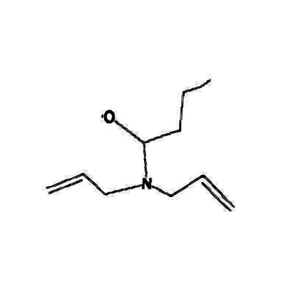 C=CCN(CC=C)C([O])CCC